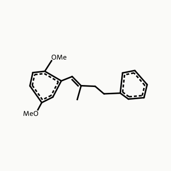 COc1ccc(OC)c(/C=C(\C)CCc2ccccc2)c1